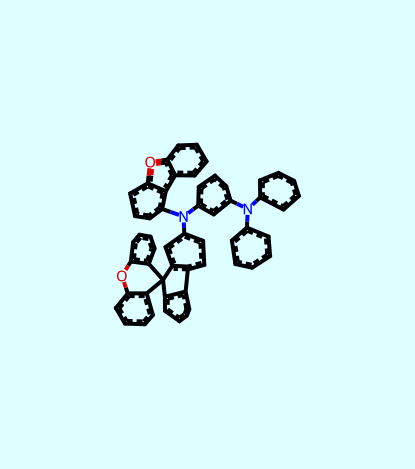 c1ccc(N(c2ccccc2)c2cccc(N(c3ccc4c(c3)C3(c5ccccc5Oc5ccccc53)c3ccccc3-4)c3cccc4oc5ccccc5c34)c2)cc1